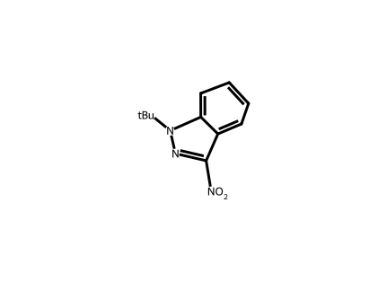 CC(C)(C)n1nc([N+](=O)[O-])c2ccccc21